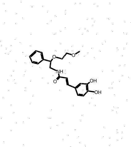 COCCOC(CNC(=O)/C=C/c1ccc(O)c(O)c1)c1ccccc1